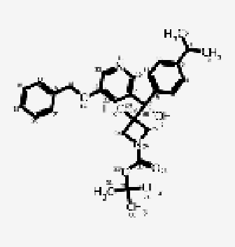 CC(C)c1ccc([C@](O)(c2cncc(OCc3ccccc3)c2)C2(C)CN(C(=O)OC(C)(C)C)C2)cc1